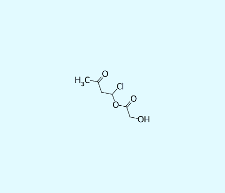 CC(=O)CC(Cl)OC(=O)CO